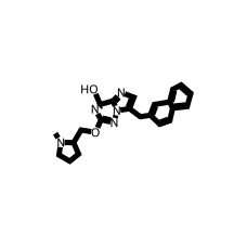 CN1CCCC1COc1nc(O)c2ncc(Cc3ccc4ccccc4c3)n2n1